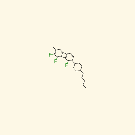 CCCCCC1CCC(c2ccc3c(c2F)-c2c-3cc(C)c(F)c2F)CC1